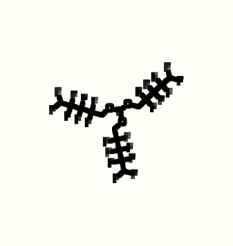 FC(F)C(F)(F)C(F)(F)C(F)(F)COB(OCC(F)(F)C(F)(F)C(F)(F)C(F)F)OCC(F)(F)C(F)(F)C(F)(F)C(F)F